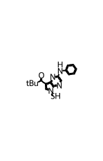 CC(C)(C)C(=O)c1cn(S)c2ncc(Nc3ccccc3)nc12